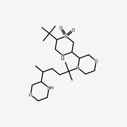 CC(CCC(C)(C)N1CCOCC1C1CS(=O)(=O)C(C(C)(C)C)CN1)C1COCCN1